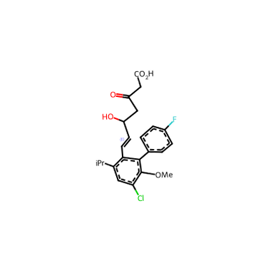 COc1c(Cl)cc(C(C)C)c(/C=C/C(O)CC(=O)CC(=O)O)c1-c1ccc(F)cc1